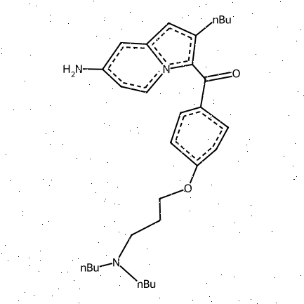 CCCCc1cc2cc(N)ccn2c1C(=O)c1ccc(OCCCN(CCCC)CCCC)cc1